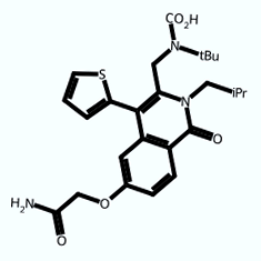 CC(C)Cn1c(CN(C(=O)O)C(C)(C)C)c(-c2cccs2)c2cc(OCC(N)=O)ccc2c1=O